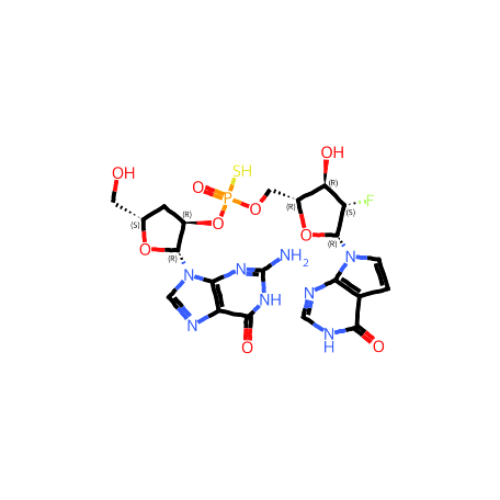 Nc1nc2c(ncn2[C@@H]2O[C@H](CO)C[C@H]2OP(=O)(S)OC[C@H]2O[C@@H](n3ccc4c(=O)[nH]cnc43)[C@@H](F)[C@@H]2O)c(=O)[nH]1